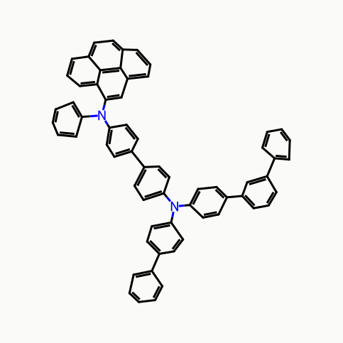 c1ccc(-c2ccc(N(c3ccc(-c4ccc(N(c5ccccc5)c5cc6cccc7ccc8cccc5c8c76)cc4)cc3)c3ccc(-c4cccc(-c5ccccc5)c4)cc3)cc2)cc1